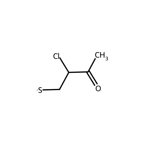 CC(=O)C(Cl)C[S]